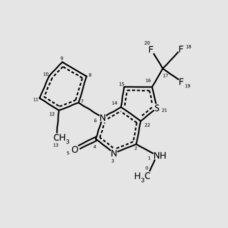 CNc1nc(=O)n(-c2ccccc2C)c2cc(C(F)(F)F)sc12